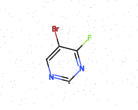 Fc1n[c]ncc1Br